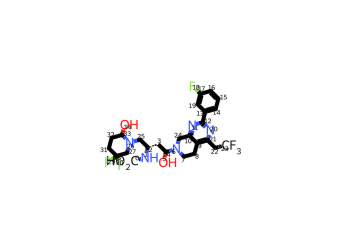 O=C(O)N[C@@H](CC(O)N1CCc2c(nc(-c3cccc(F)c3)nc2CC(F)(F)F)C1)CN1CC(F)(F)CCC1O